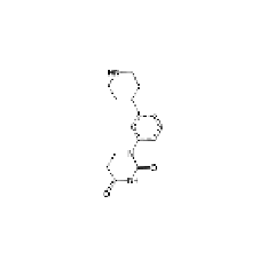 O=C1CCN(c2cccc(C3CCNCC3)c2)C(=O)N1